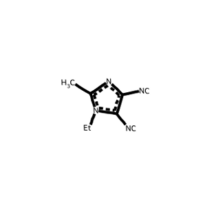 [C-]#[N+]c1nc(C)n(CC)c1[N+]#[C-]